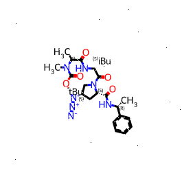 CC[C@H](C)C(NC(=O)[C@H](C)N(C)C(=O)OC(C)(C)C)C(=O)N1C[C@@H](N=[N+]=[N-])C[C@H]1C(=O)N[C@H](C)c1ccccc1